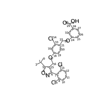 CC(C)c1onc(-c2c(Cl)cccc2Cl)c1COc1ccc(COc2cccc(C(=O)O)c2)c(Cl)c1